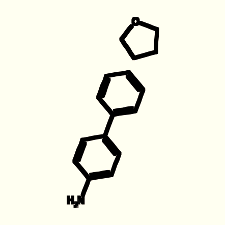 C1CCOC1.Nc1ccc(-c2ccccc2)cc1